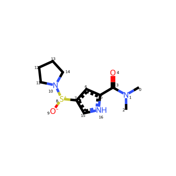 CN(C)C(=O)c1cc([S+]([O-])N2CCCC2)c[nH]1